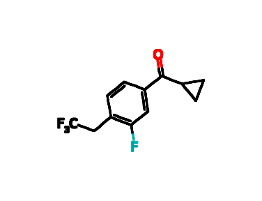 O=C(c1ccc(CC(F)(F)F)c(F)c1)C1CC1